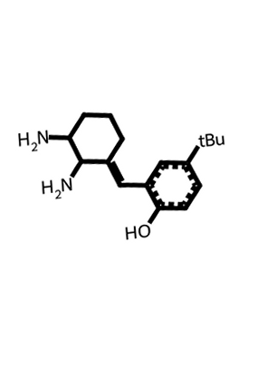 CC(C)(C)c1ccc(O)c(C=C2CCCC(N)C2N)c1